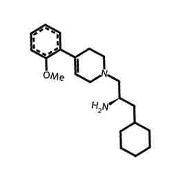 COc1ccccc1C1=CCN(C[C@H](N)CC2CCCCC2)CC1